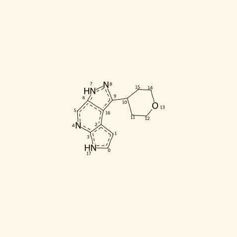 c1cc2c(ncc3[nH]nc(C4CCOCC4)c32)[nH]1